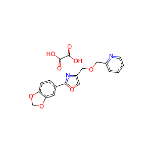 O=C(O)C(=O)O.c1ccc(COCc2coc(-c3ccc4c(c3)OCO4)n2)nc1